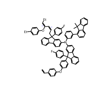 C=Cc1ccc(Oc2ccc(C3(c4ccc(F)cc4)c4ccccc4-c4ccc(N(c5cccc(-c6cccc7c6C(C)(C)c6ccccc6-7)c5)c5ccc6c(c5)C(C/C=C\C(=C/CC)Oc5ccc(CC)cc5)(c5ccc(F)cc5)c5ccccc5-6)cc43)cc2)cc1